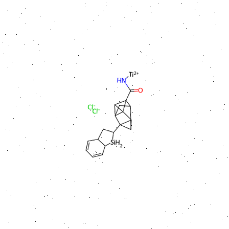 O=C([NH][Ti+2])C12C3CC45C1C24C1C3C15C1CC2C=CC=CC2[SiH2]1.[Cl-].[Cl-]